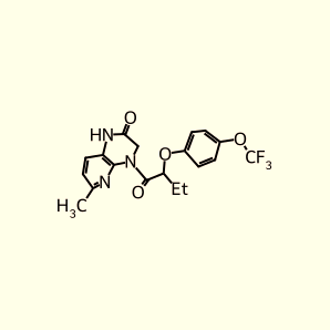 CCC(Oc1ccc(OC(F)(F)F)cc1)C(=O)N1CC(=O)Nc2ccc(C)nc21